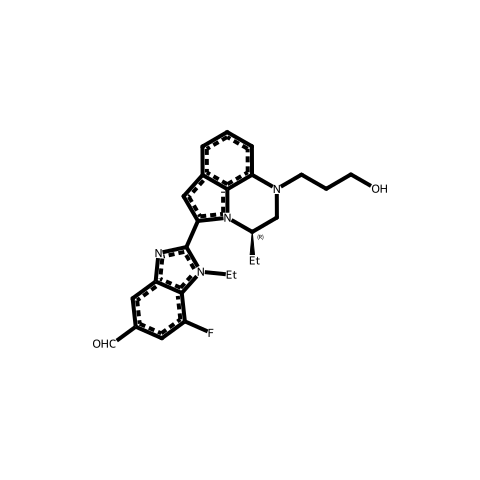 CC[C@@H]1CN(CCCO)c2cccc3cc(-c4nc5cc(C=O)cc(F)c5n4CC)n1c23